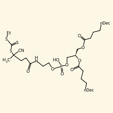 CCCCCCCCCCCCCC(=O)OC[C@H](COP(=O)(O)OCCNC(=O)CCC(C)(C#N)SC(=S)SCC)OC(=O)CCCCCCCCCCCCC